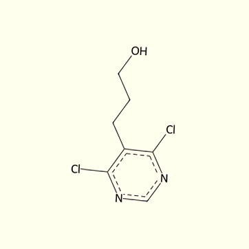 OCCCc1c(Cl)ncnc1Cl